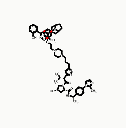 Cc1nccn1-c1ccc([C@H](C)NC(=O)[C@@H]2C[C@@H](O)CN2C(=O)[C@@H](c2cc(CCCN3CCN(CCOc4cc(N5C6CCC5CN(c5cc(-c7ccccc7O)nnc5N)C6)ccn4)CC3)no2)C(C)C)cc1